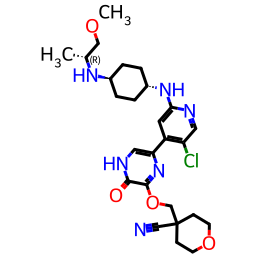 COC[C@@H](C)N[C@H]1CC[C@H](Nc2cc(-c3c[nH]c(=O)c(OCC4(C#N)CCOCC4)n3)c(Cl)cn2)CC1